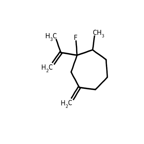 C=C1CCCC(C)C(F)(C(=C)C)C1